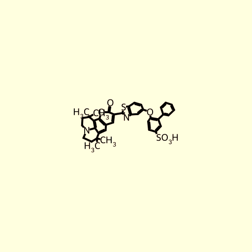 CC1(C)CCN2CCC(C)(C)c3c2c1cc1cc(-c2nc4cc(Oc5ccc(S(=O)(=O)O)cc5-c5ccccc5)ccc4s2)c(=O)oc31